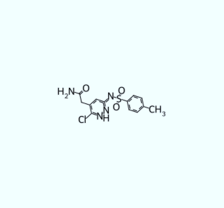 Cc1ccc(S(=O)(=O)N=c2cc(CC(N)=O)c(Cl)n[nH]2)cc1